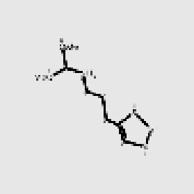 COC(OC)[SiH2]CCCC1=CSSS1